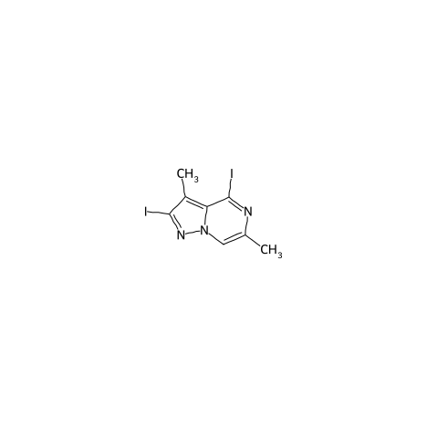 Cc1cn2nc(I)c(C)c2c(I)n1